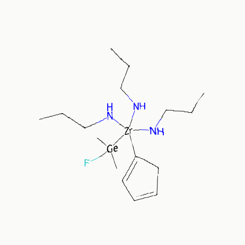 CCC[NH][Zr]([NH]CCC)([NH]CCC)([C]1=CC=CC1)[Ge]([CH3])([CH3])[F]